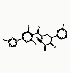 C=C(C#N)C(=O)C(CNC(=O)c1c(Cl)cc(-n2cnc(C)n2)cc1Cl)c1cccc(F)c1